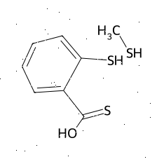 CS.OC(=S)c1ccccc1S